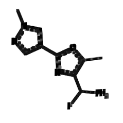 Cc1oc(-c2cnn(C)c2)nc1C(F)P